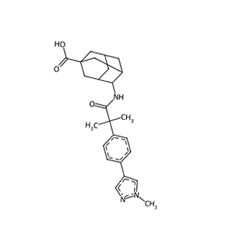 Cn1cc(-c2ccc(C(C)(C)C(=O)NC3C4CC5CC3CC(C(=O)O)(C5)C4)cc2)cn1